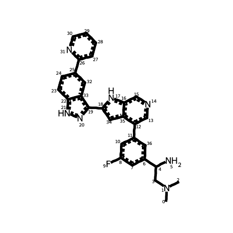 CN(C)CC(N)c1cc(F)cc(-c2cncc3[nH]c(-c4n[nH]c5ccc(-c6ccccn6)cc45)cc23)c1